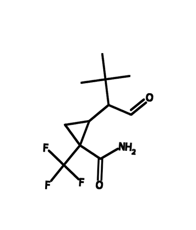 CC(C)(C)C(C=O)C1CC1(C(N)=O)C(F)(F)F